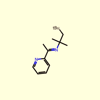 C/C(=N\C(C)(C)CC(C)(C)C)c1ccccn1